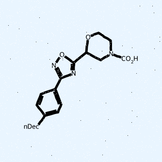 CCCCCCCCCCc1ccc(-c2noc(C3CN(C(=O)O)CCO3)n2)cc1